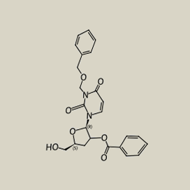 O=C(OC1C[C@@H](CO)O[C@H]1n1ccc(=O)n(COCc2ccccc2)c1=O)c1ccccc1